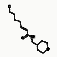 O=C(C=CCCCCCl)NCC1CCOCC1